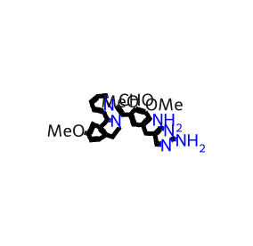 COc1ccc2c(c1)C(c1ccccn1)N(C(=CC=O)c1cc(Cc3cnc(N)nc3N)cc(OC)c1OC)CC2